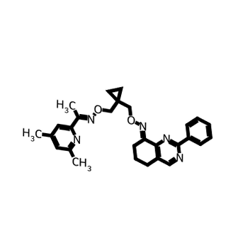 C/C(=N\OCC1(CO/N=C2\CCCc3cnc(-c4ccccc4)nc32)CC1)c1cc(C)cc(C)n1